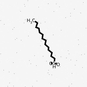 CCCCCCCCCCCCCC[SH](=O)=O